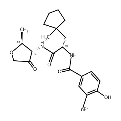 CCCc1cc(C(=O)N[C@@H](CC2(C)CCCC2)C(=O)N[C@@H]2C(=O)CO[C@H]2C)ccc1O